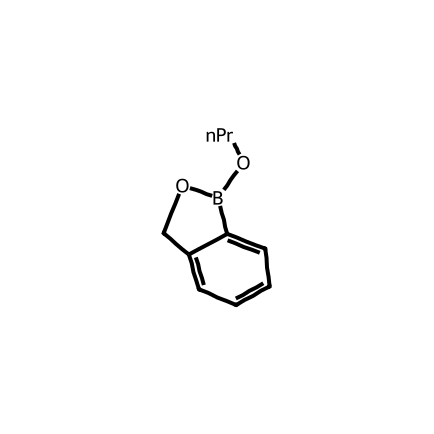 CCCOB1OCc2ccccc21